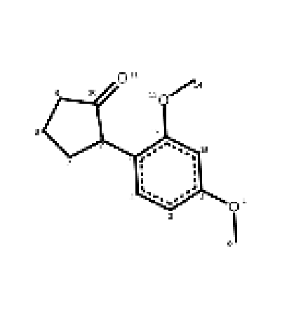 COc1ccc(C2CCCC2=O)c(OC)c1